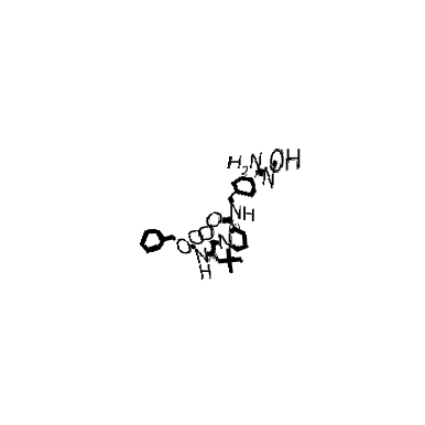 CC(C)(C)C[C@@H](NC(=O)OCc1ccccc1)C(=O)N1CCC[C@H]1C(=O)NC[C@H]1CC[C@H](C(N)=NO)CC1